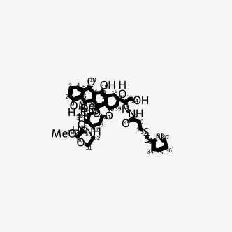 COc1cccc2c1C(=O)c1c(O)c3c(c(O)c1C2=O)C[C@@](O)(C(CO)=NNC(=O)CCSSc1ccccn1)C[C@@H]3O[C@H]1C[C@H]2[C@H](O[C@@H]3[C@@H](OC)OCCN32)[C@H](C)O1